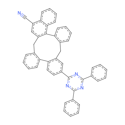 N#Cc1cc2c(c3ccccc13)-c1ccccc1Cc1cc(-c3nc(-c4ccccc4)nc(-c4ccccc4)n3)ccc1-c1ccccc1C2